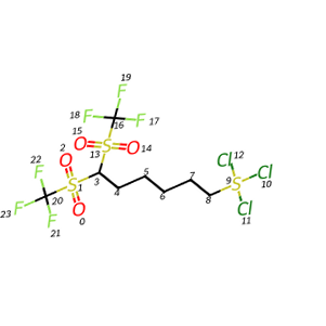 O=S(=O)(C(CCCCCS(Cl)(Cl)Cl)S(=O)(=O)C(F)(F)F)C(F)(F)F